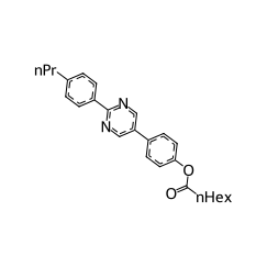 CCCCCCC(=O)Oc1ccc(-c2cnc(-c3ccc(CCC)cc3)nc2)cc1